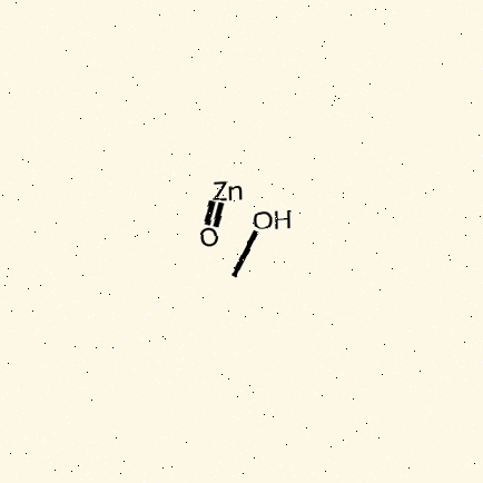 CO.[O]=[Zn]